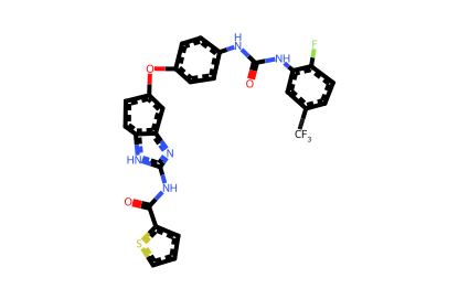 O=C(Nc1ccc(Oc2ccc3[nH]c(NC(=O)c4cccs4)nc3c2)cc1)Nc1cc(C(F)(F)F)ccc1F